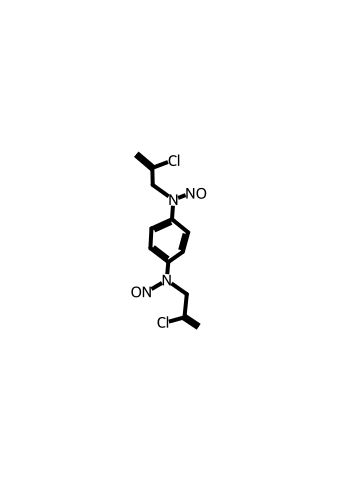 C=C(Cl)CN(N=O)c1ccc(N(CC(=C)Cl)N=O)cc1